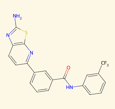 Nc1nc2ccc(-c3cccc(C(=O)Nc4cccc(C(F)(F)F)c4)c3)nc2s1